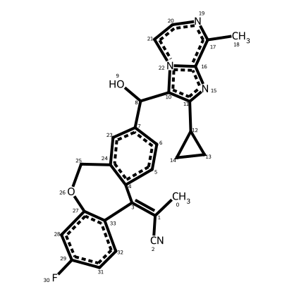 CC(C#N)=C1c2ccc(C(O)c3c(C4CC4)nc4c(C)nccn34)cc2COc2cc(F)ccc21